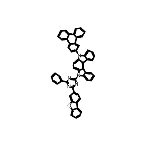 c1ccc(-c2nc(-c3ccc4c(c3)oc3ccccc34)nc(-n3c4ccccc4c4c5c6ccccc6n(-c6ccc7c8ccccc8c8ccccc8c7c6)c5ccc43)n2)cc1